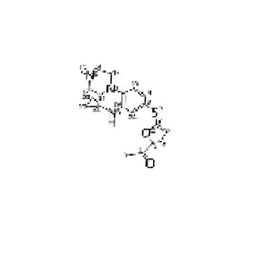 CC(=O)c1ccc(Sc2ccc(N3CCN(C)CC3)c(NC3CC3)c2)o1